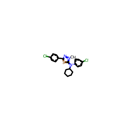 Cn1nc(-c2ccc(Cl)cc2)sc1=[N+](c1ccc(Cl)cc1)C1CCCCC1